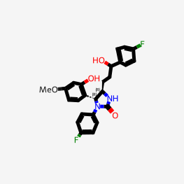 COc1ccc([C@@H]2[C@@H](CCC(O)c3ccc(F)cc3)NC(=O)N2c2ccc(F)cc2)c(O)c1